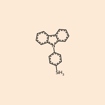 [SiH3]c1ccc(-n2c3ccccc3c3ccccc32)cc1